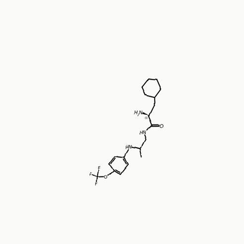 CC(CNC(=O)[C@@H](N)CC1CCCCC1)Nc1ccc(OC(F)(F)F)cc1